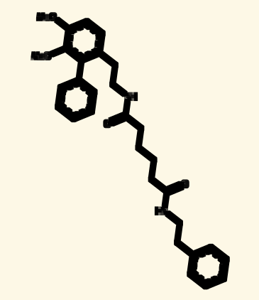 COc1ccc(CCNC(=O)CCCCC(=O)NCCc2ccccc2)c(-c2ccccc2)c1OC